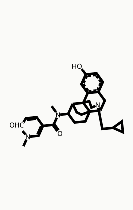 CN(C)/C=C(\C=C/C=O)C(=O)N(C)C1CCC23CCC1C21CCN(CC2CC2)C3Cc2ccc(O)cc21